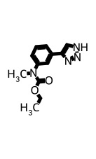 CCOC(=O)N(C)c1cccc(-c2c[nH]nn2)c1